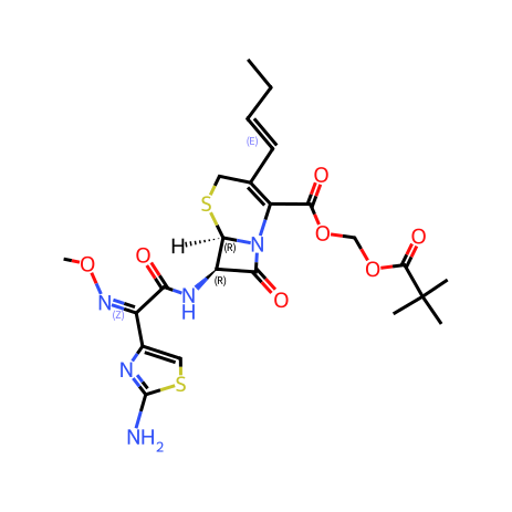 CC/C=C/C1=C(C(=O)OCOC(=O)C(C)(C)C)N2C(=O)[C@@H](NC(=O)/C(=N\OC)c3csc(N)n3)[C@H]2SC1